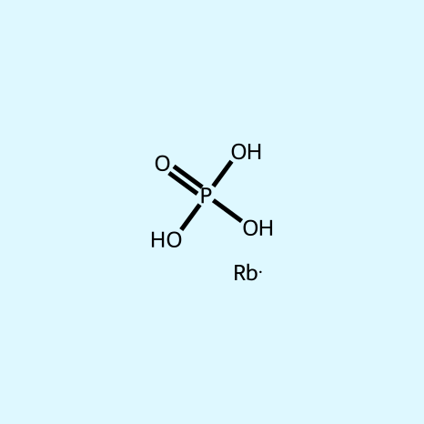 O=P(O)(O)O.[Rb]